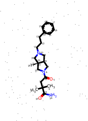 CC(C)(CC(=O)N1CC2CN(CC[CH]c3ccccc3)C[C@H]2C1)C(N)=O